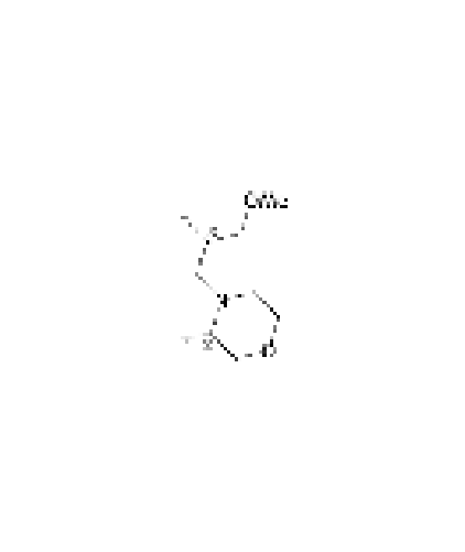 COC[C@@H](C)CN1CCOC[C@@H]1C